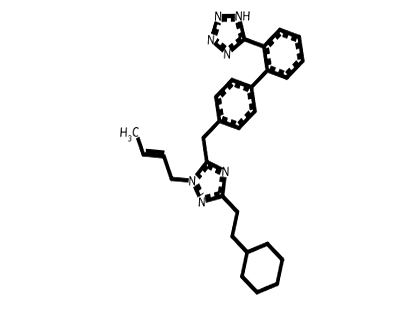 C/C=C/Cn1nc(CCC2CCCCC2)nc1Cc1ccc(-c2ccccc2-c2nnn[nH]2)cc1